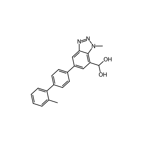 Cc1ccccc1-c1ccc(-c2cc(C(O)O)c3c(c2)nnn3C)cc1